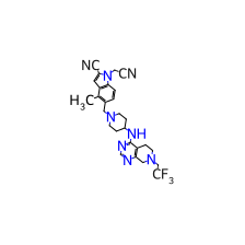 Cc1c(CN2CCC(Nc3ncnc4c3CCN(CC(F)(F)F)C4)CC2)ccc2c1cc(C#N)n2CC#N